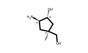 N[C@@H]1C[C@](F)(CO)C[C@H]1O